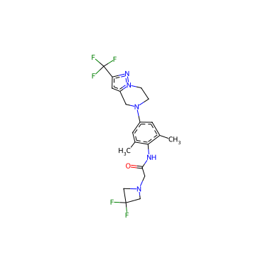 Cc1cc(N2CCn3nc(C(F)(F)F)cc3C2)cc(C)c1NC(=O)CN1CC(F)(F)C1